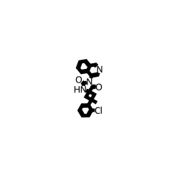 CC1(c2ccccc2Cl)CC2(C1)NC(=O)N(c1cncc3ccccc13)C2=O